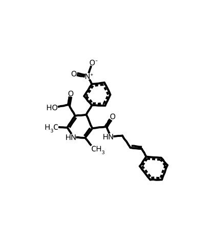 CC1=C(C(=O)O)C(c2cccc([N+](=O)[O-])c2)C(C(=O)NCC=Cc2ccccc2)=C(C)N1